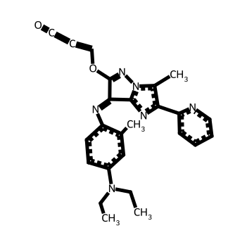 CCN(CC)c1ccc(/N=C2/C(OC=C=C=O)=Nn3c2nc(-c2ccccn2)c3C)c(C)c1